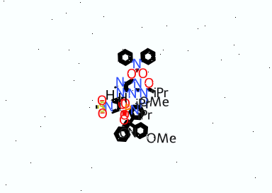 COc1ccc(C(OC[C@@]23CN(S(C)(=O)=O)[C@@H]([C@H](n4cnc5c(OC(=O)N(c6ccccc6)c6ccccc6)nc(NC(=O)C(C)C)nc54)O2)[C@@H]3OP(OCCC#N)N(C(C)C)C(C)C)(c2ccccc2)c2ccc(OC)cc2)cc1